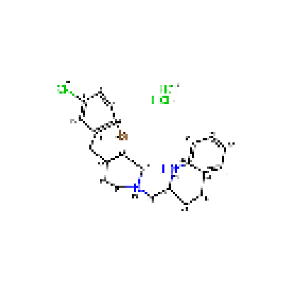 Cl.Cl.Clc1ccc(Br)c(CC2CCN(CC3CCc4ccccc4N3)CC2)c1